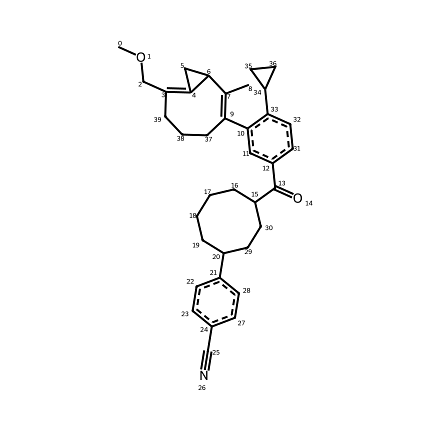 COC/C1=C2/CC2/C(C)=C(/c2cc(C(=O)C3CCCCC(c4ccc(C#N)cc4)CC3)ccc2C2CC2)CCC1